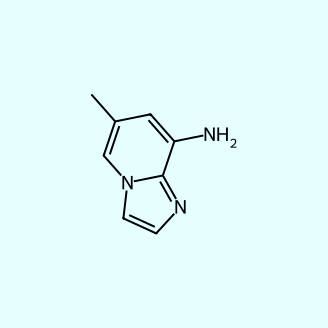 Cc1cc(N)c2nccn2c1